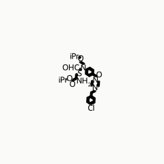 CC(C)OCCN(c1ccc(C(=O)N2CCN(CCc3ccc(Cl)cc3)CC2)cc1)C(C=O)SCC(N)C(=O)OC(C)C